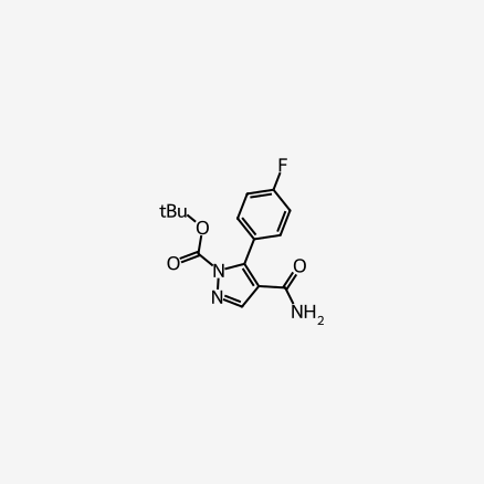 CC(C)(C)OC(=O)n1ncc(C(N)=O)c1-c1ccc(F)cc1